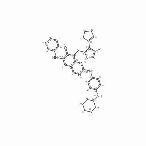 Cn1cnc(Cn2c(=O)c(Nc3cccnc3)cc3cnc(Nc4ccc(NC5CCCNC5)cc4)nc32)c1C1=CCCC1